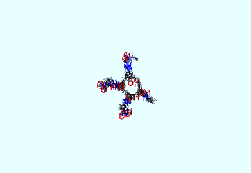 C#C/C=C(\C=C(/C)N=Nc1cc2c(O)c(c1)Cc1cc(N=NC3=CC([N+](=O)[O-])=CC3)cc(c1O)Cc1cc(N=NC3=CC([N+](=O)[O-])=CC3)cc(c1O)Cc1cc(N=NC3=CC=CC3)cc(c1O)CCCC2)[N+](=O)[O-]